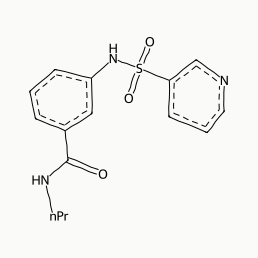 CCCNC(=O)c1cccc(NS(=O)(=O)c2cccnc2)c1